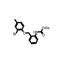 COC(=O)Nc1ccccc1COc1ccc(C)cc1Br